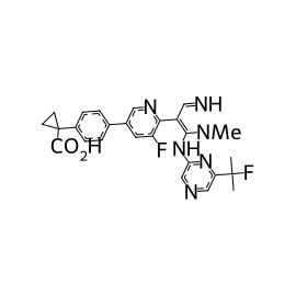 CN/C(Nc1cncc(C(C)(C)F)n1)=C(\C=N)c1ncc(-c2ccc(C3(C(=O)O)CC3)cc2)cc1F